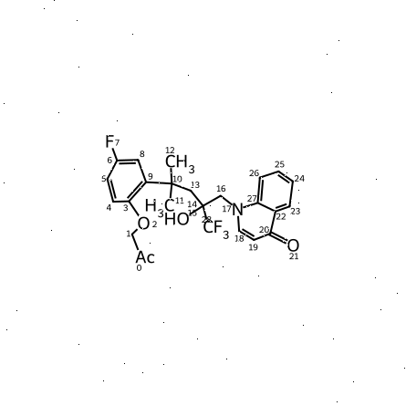 CC(=O)COc1ccc(F)cc1C(C)(C)CC(O)(Cn1ccc(=O)c2ccccc21)C(F)(F)F